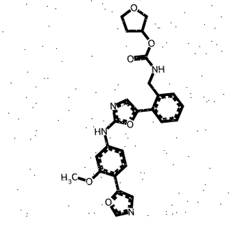 COc1cc(Nc2ncc(-c3ccccc3CNC(=O)OC3CCOC3)o2)ccc1-c1cnco1